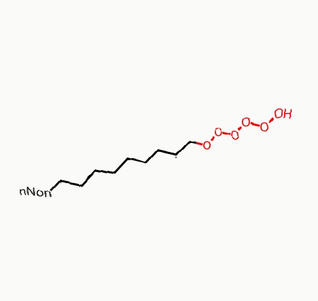 CCCCCCCCCCCCCCCC[CH]COOOOOO